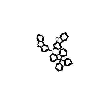 c1ccc(C2(c3ccccc3)c3ccccc3-c3c(N(c4ccc5c(c4)oc4ccccc45)c4ccc5sc6ccccc6c5c4)cccc32)cc1